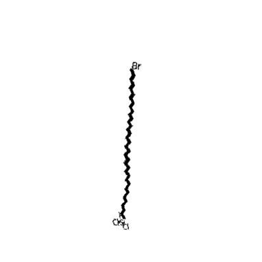 Cl[SiH](Cl)CCCCCCCCCCCCCCCCCCCCCCCCCCCCCCCCCCCCBr